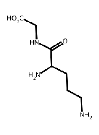 NCCCC(N)C(=O)NCC(=O)O